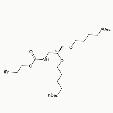 CCCCCCCCCCCCCCOC[C@H](CNC(=O)OCCC(C)C)OCCCCCCCCCCCCCC